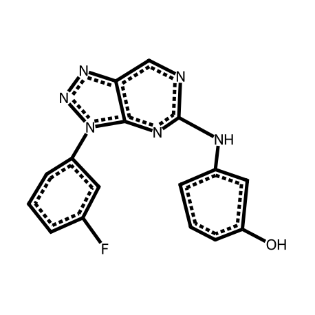 Oc1cccc(Nc2ncc3nnn(-c4cccc(F)c4)c3n2)c1